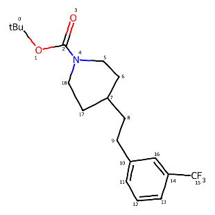 CC(C)(C)OC(=O)N1CCC(CCc2cccc(C(F)(F)F)c2)CC1